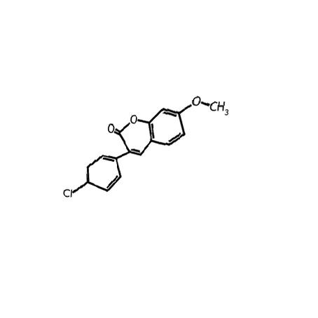 COc1ccc2cc(C3=CCC(Cl)C=C3)c(=O)oc2c1